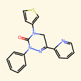 O=C1N(c2ccsc2)CC(c2ccccn2)=NN1c1ccccc1